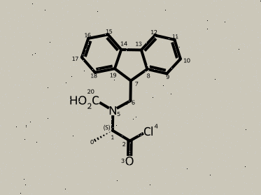 C[C@@H](C(=O)Cl)N(CC1c2ccccc2-c2ccccc21)C(=O)O